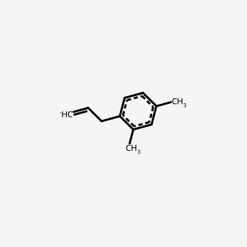 [CH]=CCc1ccc(C)cc1C